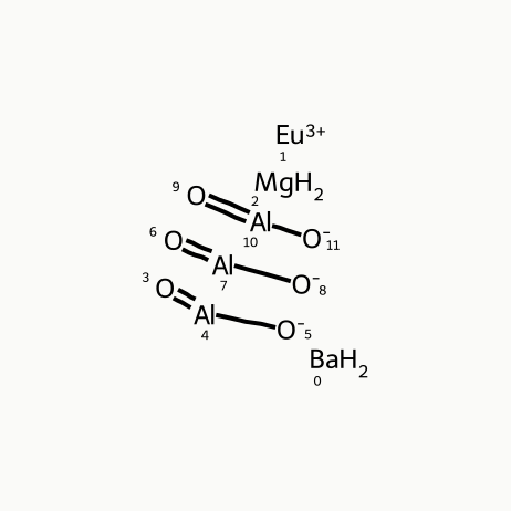 [BaH2].[Eu+3].[MgH2].[O]=[Al][O-].[O]=[Al][O-].[O]=[Al][O-]